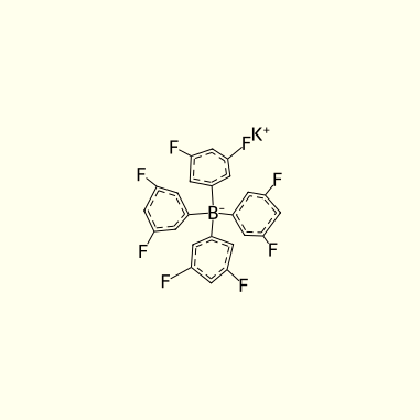 Fc1cc(F)cc([B-](c2cc(F)cc(F)c2)(c2cc(F)cc(F)c2)c2cc(F)cc(F)c2)c1.[K+]